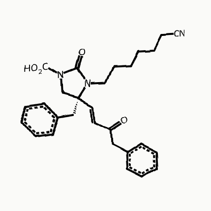 N#CCCCCCCN1C(=O)N(C(=O)O)C[C@@]1(C=CC(=O)Cc1ccccc1)Cc1ccccc1